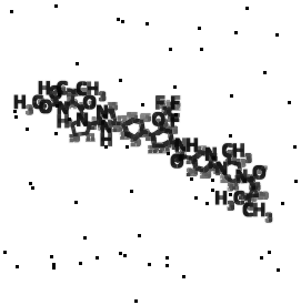 COC(=O)N[C@H](C(=O)N1CCCC1c1ncc(-c2ccc(-c3ccc(NC(=O)c4ccc(N5CCN(C(=O)[C@H]6CC6(C)C)CC5C)nc4)cc3OC(F)(F)F)cc2)[nH]1)C(C)C